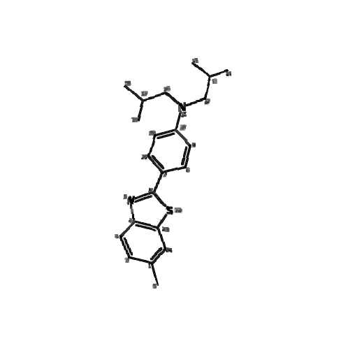 Cc1ccc2nc(-c3ccc(N(CC(C)C)CC(C)C)cc3)sc2c1